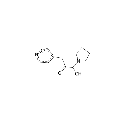 CC(C(=O)Cc1ccncc1)N1CCCC1